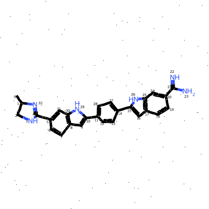 CC1CNC(c2ccc3cc(-c4ccc(-c5cc6ccc(C(=N)N)cc6[nH]5)cc4)[nH]c3c2)=N1